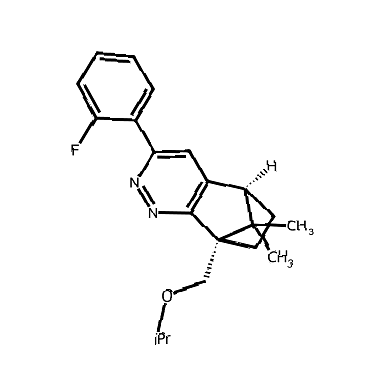 CC(C)OC[C@]12CC[C@H](c3cc(-c4ccccc4F)nnc31)C2(C)C